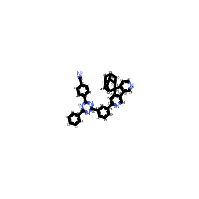 N#Cc1ccc(-c2nc(-c3ccccc3)nc(-c3cccc(-c4cc5c(cn4)-c4cnccc4C54C5CC6CC(C5)CC4C6)c3)n2)cc1